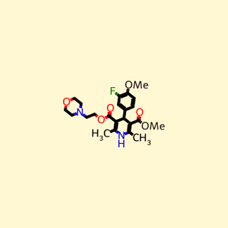 COC(=O)C1=C(C)NC(C)=C(C(=O)OCCN2CCOCC2)C1c1ccc(OC)c(F)c1